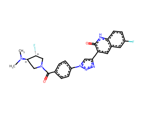 CN(C)[C@@H]1CN(C(=O)c2ccc(-n3cc(-c4cc5cc(F)ccc5[nH]c4=O)nn3)cc2)C[C@H]1F